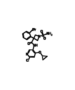 CC(C)c1ccccc1C1(C(=O)Nc2cnc(Cl)cc2OC2CC2)CN(S(N)(=O)=O)C1